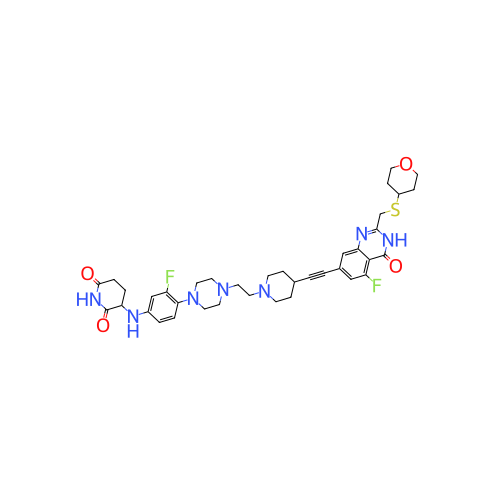 O=C1CCC(Nc2ccc(N3CCN(CCN4CCC(C#Cc5cc(F)c6c(=O)[nH]c(CSC7CCOCC7)nc6c5)CC4)CC3)c(F)c2)C(=O)N1